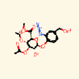 COC(=O)[C@H]1O[C@@H](Oc2ccc(CO)cc2N=[N+]=[N-])[C@H](O)[C@@H](OC(C)=O)[C@@H]1OC(C)=O